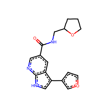 O=C(NCC1CCCO1)c1cnc2[nH]cc(-c3ccoc3)c2c1